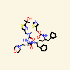 CN(Cc1csc(C(C)(C)O)n1)C(=O)N[C@@H](CCN1CCOCC1)C(=O)N[C@H](CC[C@H](Cc1ccccc1)NC(=O)OCc1cncs1)Cc1ccccc1